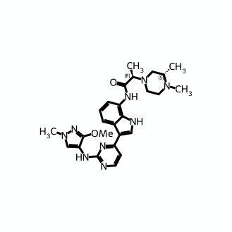 COc1nn(C)cc1Nc1nccc(-c2c[nH]c3c(NC(=O)[C@@H](C)N4CCN(C)[C@@H](C)C4)cccc23)n1